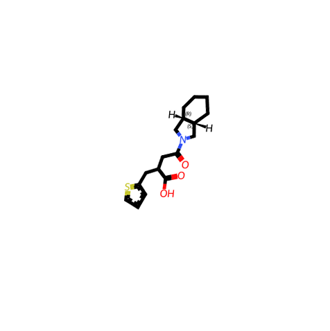 O=C(O)C(CC(=O)N1C[C@H]2CCCC[C@H]2C1)Cc1cccs1